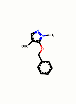 Cn1ncc(C=O)c1OCc1ccccc1